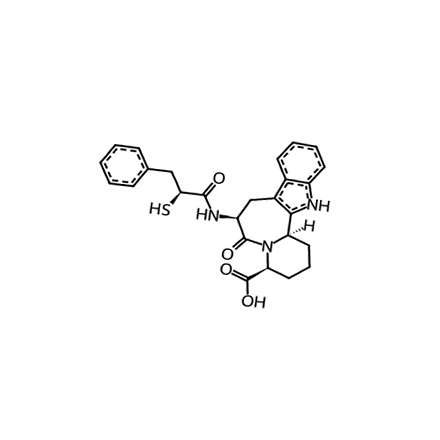 O=C(N[C@H]1Cc2c([nH]c3ccccc23)[C@H]2CCC[C@@H](C(=O)O)N2C1=O)[C@@H](S)Cc1ccccc1